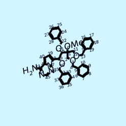 COC(COCc1ccccc1)(COCc1ccccc1)[C@@H](OCc1ccccc1)[C@@H](OCc1ccccc1)c1ccc2c(N)ncnn12